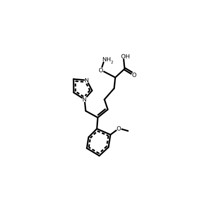 COc1ccccc1C(=CCCC(ON)C(=O)O)Cn1ccnc1